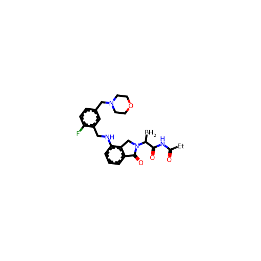 BC(C(=O)NC(=O)CC)N1Cc2c(NCc3cc(CN4CCOCC4)ccc3F)cccc2C1=O